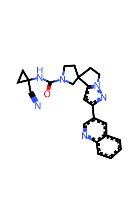 N#CC1(NC(=O)N2CCC3(CCn4nc(-c5cnc6ccccc6c5)cc43)C2)CC1